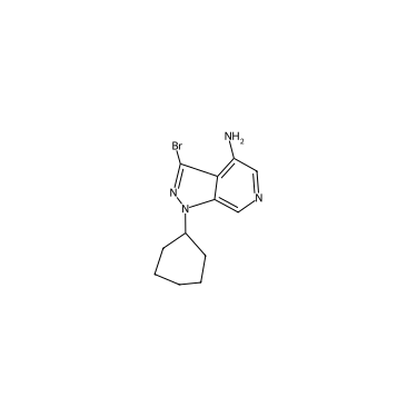 Nc1cncc2c1c(Br)nn2C1CCCCC1